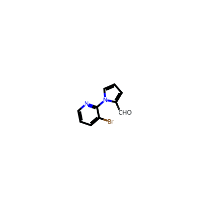 O=Cc1cccn1-c1ncccc1Br